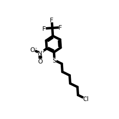 O=[N+]([O-])c1cc(C(F)(F)F)ccc1SCCCCCCCl